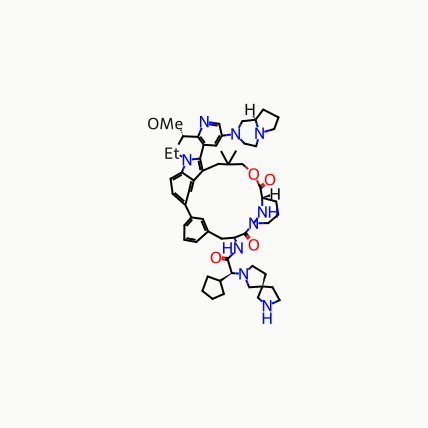 CCn1c(-c2cc(N3CCN4CCC[C@@H]4C3)cnc2[C@H](C)OC)c2c3cc(ccc31)-c1cccc(c1)C[C@H](NC(=O)[C@H](C1CCCC1)N1CC[C@]3(CCNC3)C1)C(=O)N1CCC[C@H](N1)C(=O)OCC(C)(C)C2